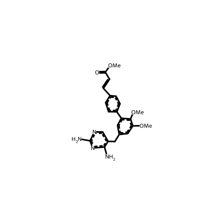 COC(=O)/C=C/c1ccc(-c2cc(Cc3cnc(N)nc3N)cc(OC)c2OC)cc1